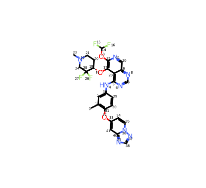 Cc1cc(Nc2ncnc3cnc(OC(F)F)c(O[C@H]4CCN(C)CC4(F)F)c23)ccc1Oc1ccn2ncnc2c1